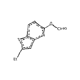 CCc1cc2nc(OC=O)ccc2s1